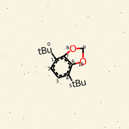 CC(C)(C)c1ccc(C(C)(C)C)c2c1OCO2